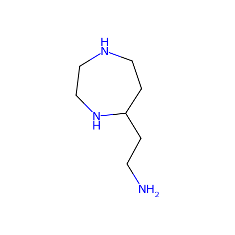 NCCC1CCNCCN1